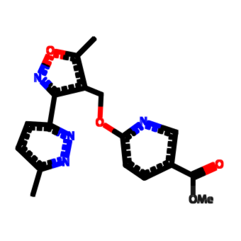 COC(=O)c1ccc(OCc2c(-c3ccc(C)nn3)noc2C)nc1